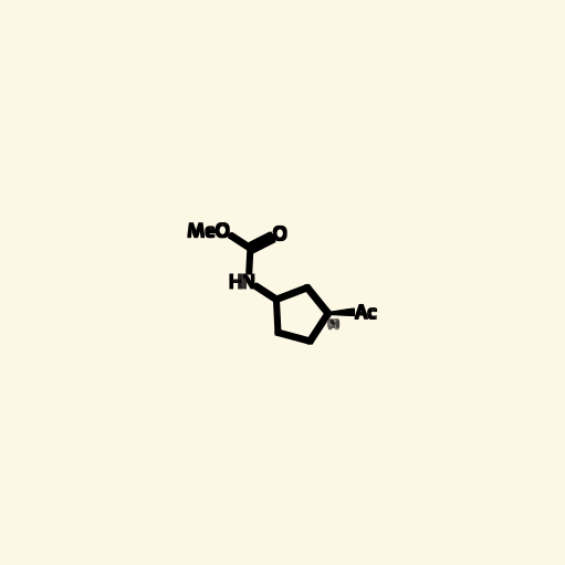 COC(=O)NC1CC[C@H](C(C)=O)C1